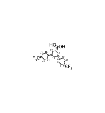 OB(O)c1cc(-c2ccc(C(F)(F)F)cc2)cc(-c2ccc(C(F)(F)F)cc2)c1